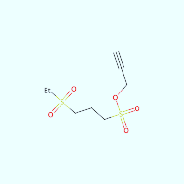 C#CCOS(=O)(=O)CCCS(=O)(=O)CC